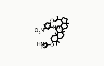 CC(=COc1ccc([N+](=O)[O-])cc1[N+](=O)[O-])C1CCC2(C)CCC3C(CCC4C3(C)CCC3C(C)(C)C(Oc5cn[nH]c5)CCC34C)C12